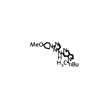 CCCCC(C)n1ccc2cnc(Nc3ccnc(N4CCC(OC)CC4)n3)cc21